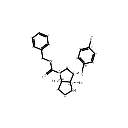 O=C(OCc1ccccc1)N1C[C@H](Oc2ccc(F)cc2)[C@H]2NCC[C@H]21